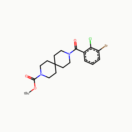 CC(C)(C)OC(=O)N1CCC2(CC1)CCN(C(=O)c1cccc(Br)c1Cl)CC2